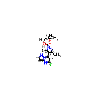 Cc1nn(C(=O)OC(C)(C)C)c(C)c1-c1cc(Cl)nc2ccnn12